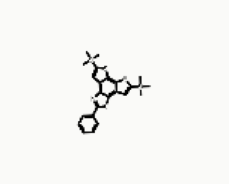 C[Si](C)(C)c1cc2c3nc(-c4ccccc4)oc3c3cc([Si](C)(C)C)sc3c2s1